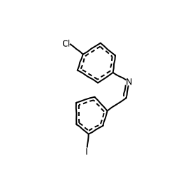 Clc1ccc(/N=C\c2cccc(I)c2)cc1